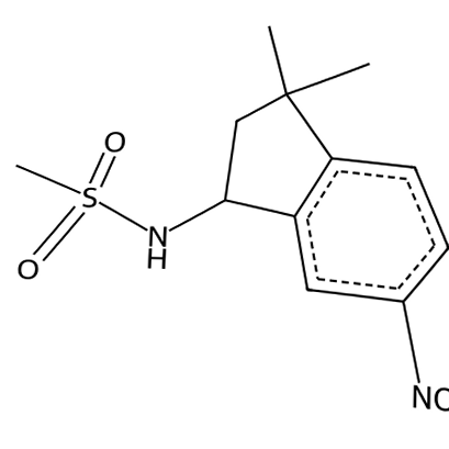 CC1(C)CC(NS(C)(=O)=O)c2cc([N+](=O)[O-])ccc21